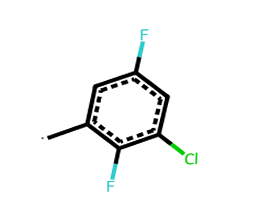 [CH2]c1cc(F)cc(Cl)c1F